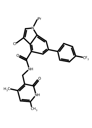 Cc1cc(C)c(CNC(=O)c2cc(-c3ccc(C(F)(F)F)cc3)cc3c2c(Cl)cn3C(C)C)c(=O)[nH]1